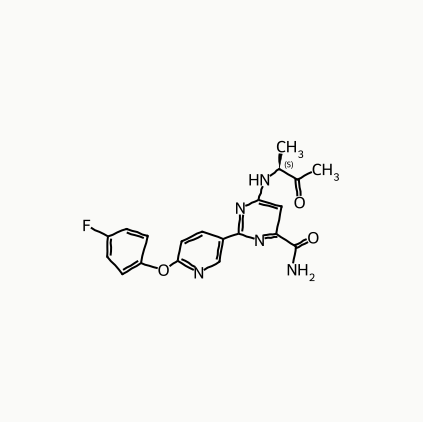 CC(=O)[C@H](C)Nc1cc(C(N)=O)nc(-c2ccc(Oc3ccc(F)cc3)nc2)n1